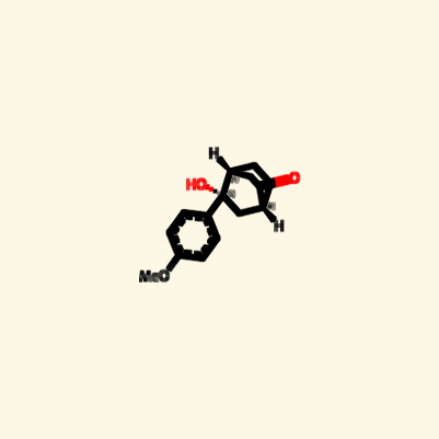 COc1ccc([C@]2(O)C[C@H]3CC[C@@H]2CC3=O)cc1